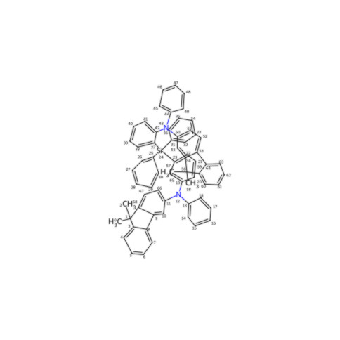 CC1(C)c2ccccc2-c2cc(N(c3ccccc3)c3cccc([Si](c4ccccc4)(c4ccccc4)c4ccccc4N(c4ccccc4)c4ccc5c(c4)C(C)(C)c4ccccc4-5)c3)ccc21